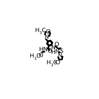 COCCNC(=O)c1cc(CN2CCO[C@H](C)C2)ccc1NC(=O)c1csc(N2CC[C@H](OC)C2)n1